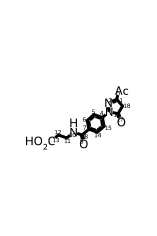 CC(=O)C1=NN(c2ccc(C(=O)NCCC(=O)O)cc2)C(=O)C1